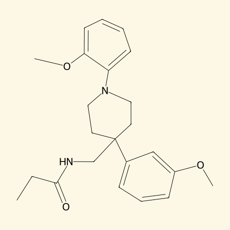 CCC(=O)NCC1(c2cccc(OC)c2)CCN(c2ccccc2OC)CC1